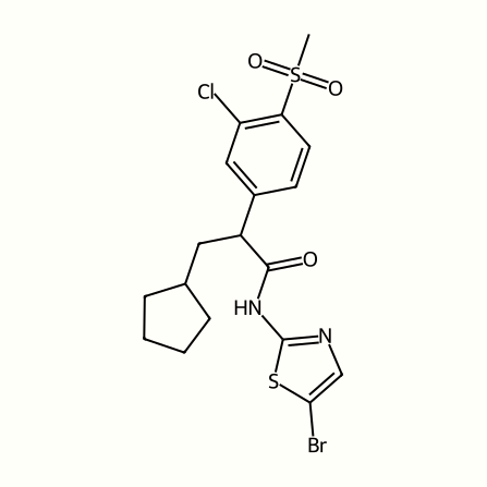 CS(=O)(=O)c1ccc(C(CC2CCCC2)C(=O)Nc2ncc(Br)s2)cc1Cl